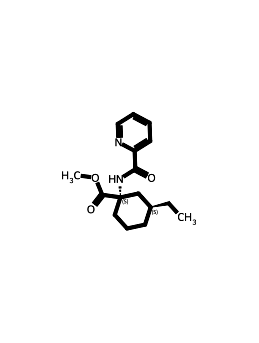 CC[C@H]1CCC[C@@](NC(=O)c2ccccn2)(C(=O)OC)C1